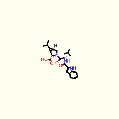 CC(C)C[C@H](NC(=O)c1cc2ccccc2[nH]1)C(=O)N1C[C@@H]2C(C(C)C)C2[C@H]1C(=O)O